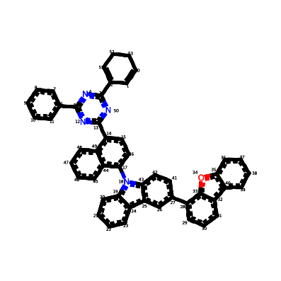 C1=CC(c2nc(-c3ccccc3)nc(-c3ccc(-n4c5ccccc5c5cc(-c6cccc7c6oc6ccccc67)ccc54)c4ccccc34)n2)=CCC1